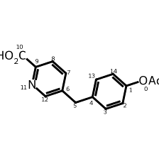 CC(=O)Oc1ccc(Cc2ccc(C(=O)O)nc2)cc1